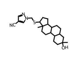 CC1(O)CCC2C(CCC3C2CCC2(C)C(SCn4cc(C#N)cn4)CCC32)C1